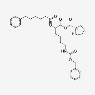 O=C(NCCCCC(O[PH](=O)CCCCCc1ccccc1)C(=O)OC(=O)[C@@H]1CCCN1)OCc1ccccc1